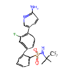 CC(C)(NS(=O)(=O)c1ccccc1-c1ccc(-c2ccc(N)nc2)c(F)c1)C(F)(F)F